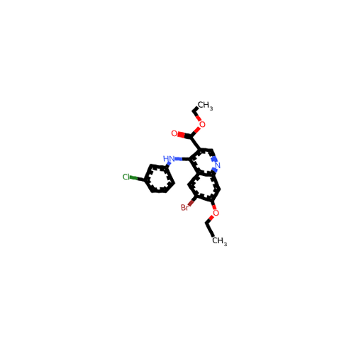 CCOC(=O)c1cnc2cc(OCC)c(Br)cc2c1Nc1cccc(Cl)c1